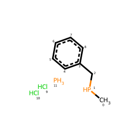 CPCc1ccccc1.Cl.Cl.P